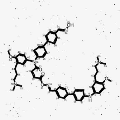 COc1ccc(Nc2ccc(-c3ccc(C=NOC(=O)/C=C\C(=O)N(c4ccc(-c5ccc(C=NO)cc5)cc4)c4ccc(OC)c(CCCN(C)C)c4)cc3)cc2)cc1CCCN(C)C